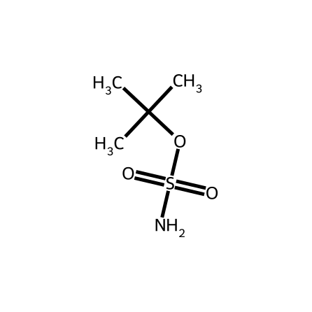 CC(C)(C)OS(N)(=O)=O